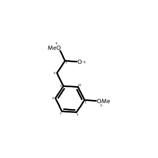 COc1cccc(CC([O])OC)c1